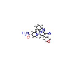 Cc1c(C2CCOCC2)c(C#N)c2nc3ccccc3n2c1N1CCC(C(N)=O)CC1